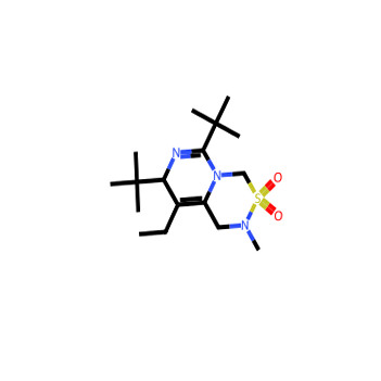 CCC1=C2CN(C)S(=O)(=O)CN2C(C(C)(C)C)=NC1C(C)(C)C